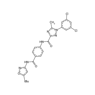 Cc1nc(C(=O)Nc2ccc(C(=O)Nc3cc(C(C)(C)C)on3)cc2)nn1-c1cc(Cl)cc(Cl)c1